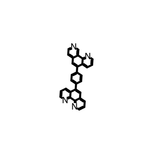 c1cnc2c(c1)cc(-c1ccc(-c3cc4ccncc4c4ncccc34)cc1)c1cccnc12